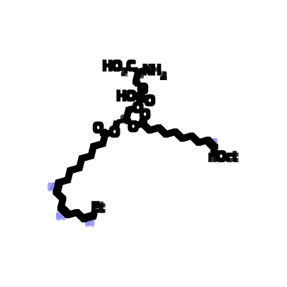 CC/C=C\C/C=C\C/C=C\CCCCCCCC(=O)OC[C@H](COP(=O)(O)OC[C@H](N)C(=O)O)OC(=O)CCCCCCC/C=C\CCCCCCCC